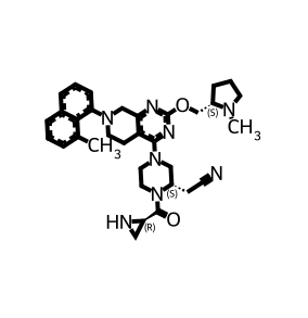 Cc1cccc2cccc(N3CCc4c(nc(OC[C@@H]5CCCN5C)nc4N4CCN(C(=O)[C@H]5CN5)[C@@H](CC#N)C4)C3)c12